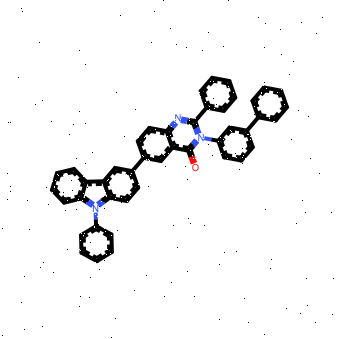 O=c1c2cc(-c3ccc4c(c3)c3ccccc3n4-c3ccccc3)ccc2nc(-c2ccccc2)n1-c1cccc(-c2ccccc2)c1